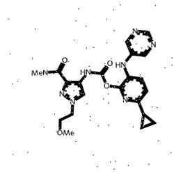 CNC(=O)c1nn(CCOC)cc1NC(=O)Oc1nc(C2CC2)ccc1Nc1cncnc1